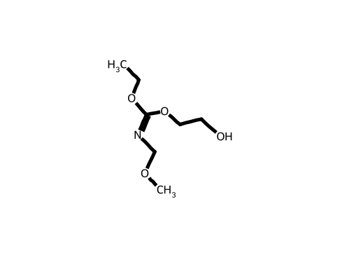 CCOC(=NCOC)OCCO